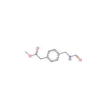 COC(=O)Cc1ccc(CNC=O)cc1